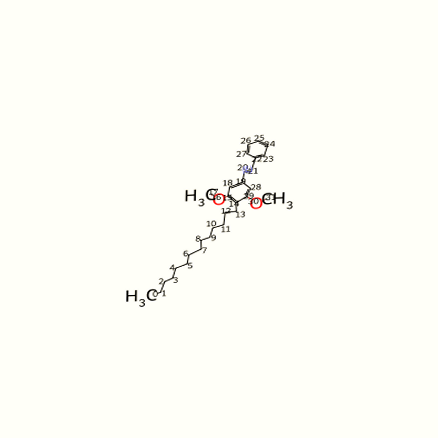 CCCCCCCCCCCCCCc1c(OC)cc(/C=C/c2ccccc2)cc1OC